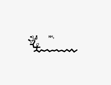 CCCCCCCCCCCCCCCCC(C)C(C)(Cl)CC(C)C[Si](OC)(OC)OC.N